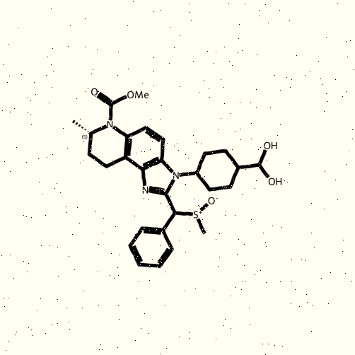 COC(=O)N1c2ccc3c(nc(C(c4ccccc4)[S+](C)[O-])n3C3CCC(C(O)O)CC3)c2CC[C@@H]1C